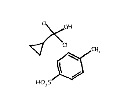 Cc1ccc(S(=O)(=O)O)cc1.OC(Cl)(Cl)C1CC1